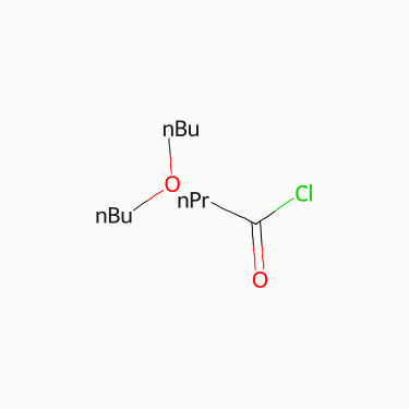 CCCC(=O)Cl.CCCCOCCCC